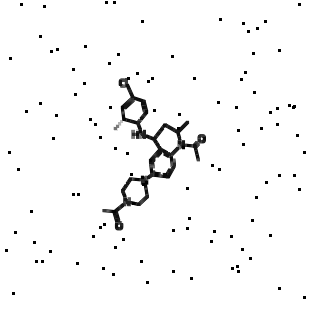 CC(=O)N1CCN(c2ccc3c(c2)C(NC2C=CC(Cl)=C[C@H]2C)CC(C)N3C(C)=O)CC1